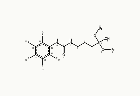 CC(C)O[Si](O)(CCCNC(=O)Nc1c(F)c(F)c(F)c(F)c1F)OC(C)C